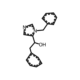 OC(Cc1ccccc1)c1cncn1Cc1ccccc1